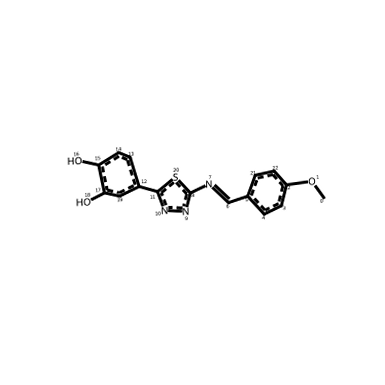 COc1ccc(C=Nc2nnc(-c3ccc(O)c(O)c3)s2)cc1